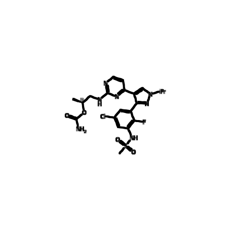 CC(C)n1cc(-c2ccnc(NC[C@H](C)OC(N)=O)n2)c(-c2cc(Cl)cc(NS(C)(=O)=O)c2F)n1